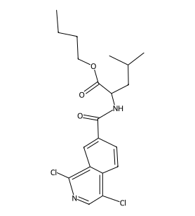 CCCCOC(=O)C(CC(C)C)NC(=O)c1ccc2c(Cl)cnc(Cl)c2c1